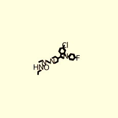 CCCNC(=O)N(CC)CCN1CCC(c2cn(-c3ccc(F)cc3)c3cc(Cl)ccc23)CC1